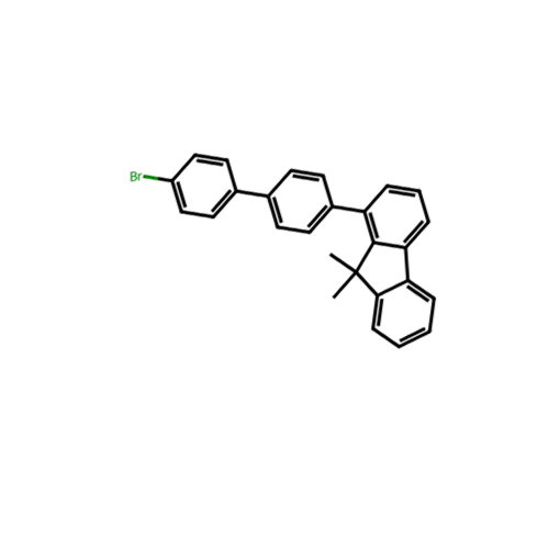 CC1(C)c2ccccc2-c2cccc(-c3ccc(-c4ccc(Br)cc4)cc3)c21